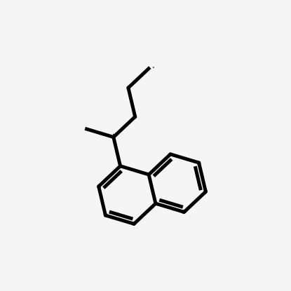 [CH2]CC[C](C)c1cccc2ccccc12